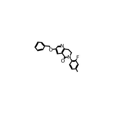 Cc1ccc(N2CCc3ncc(OCc4ccccc4)cc3C2=O)c(F)c1